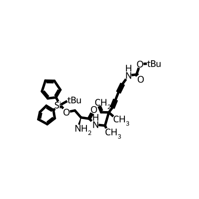 C=CC(C)(C#CC#CNC(=O)OC(C)(C)C)C(C)NC(=O)[C@@H](N)CO[Si](c1ccccc1)(c1ccccc1)C(C)(C)C